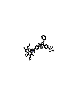 CCCCC(CC)Cn1c(O)c(/N=N/c2ccc(S(=O)(=O)N(CCc3ccccc3)c3ccc(C(=O)O)cc3)cc2)c(C)c(C#N)c1=O